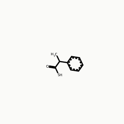 CC(C(=O)S)c1ccccc1